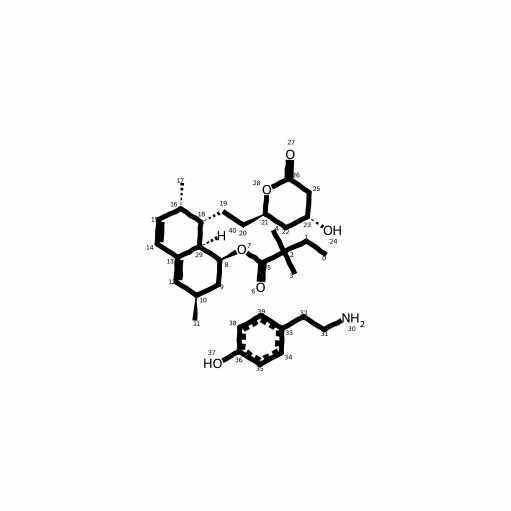 CCC(C)(C)C(=O)O[C@H]1C[C@@H](C)C=C2C=C[C@H](C)[C@H](CC[C@@H]3C[C@@H](O)CC(=O)O3)[C@H]21.NCCc1ccc(O)cc1